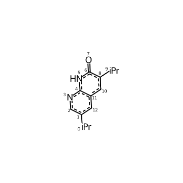 CC(C)c1cnc2[nH]c(=O)c(C(C)C)cc2c1